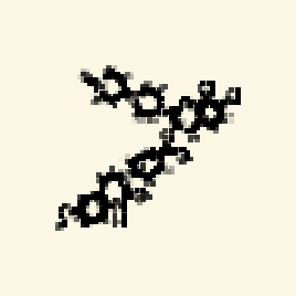 COc1ccc2c(c1)CCN(C1CCN(C(=O)O[C@H](Cc3ccc(Cl)c(Cl)c3)C(=O)N3CCN(C4CCN(C)CC4)CC3)CC1)C(=O)N2